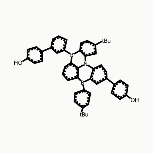 CC(C)(C)c1ccc(B2c3cc(-c4ccc(O)cc4)ccc3N3c4cc(C(C)(C)C)ccc4B(c4cccc(-c5ccc(O)cc5)c4)c4cccc2c43)cc1